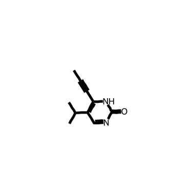 CC#Cc1[nH]c(=O)ncc1C(C)C